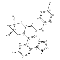 Cc1ccc(-n2nccn2)c(C(=O)N2C[C@@H]3C[C@H]3C[C@H]2CCOc2ccc(F)cn2)n1